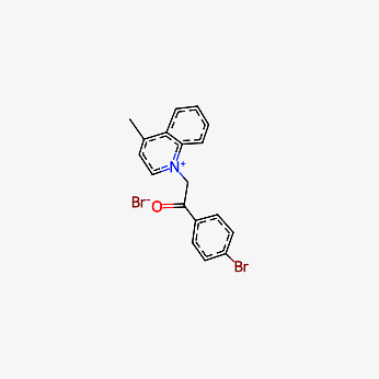 Cc1cc[n+](CC(=O)c2ccc(Br)cc2)c2ccccc12.[Br-]